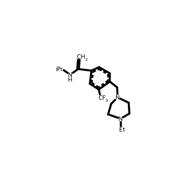 C=C(NC(C)C)c1ccc(CN2CCN(CC)CC2)c(C(F)(F)F)c1